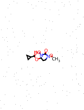 CON1CCC(OC(=O)C2CC2)N(O)C1=O